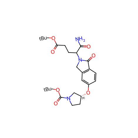 CC(C)(C)OC(=O)CCC(C(N)=O)N1Cc2cc(O[C@@H]3CCN(C(=O)OC(C)(C)C)C3)ccc2C1=O